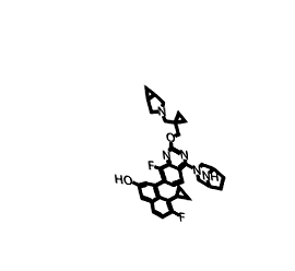 Oc1cc(-c2ccc3c(N4CC5CCC(C4)N5)nc(OCC4(CN5CC6CC6C5)CC4)nc3c2F)c2c(C3CC3)c(F)ccc2c1